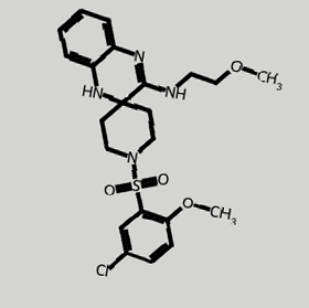 COCCNC1=Nc2ccccc2NC12CCN(S(=O)(=O)c1cc(Cl)ccc1OC)CC2